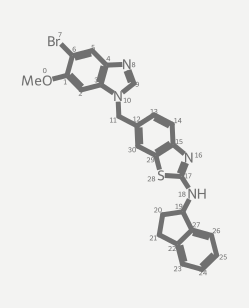 COc1cc2c(cc1Br)ncn2Cc1ccc2nc(NC3CCc4ccccc43)sc2c1